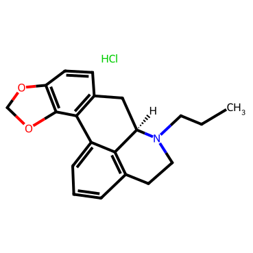 CCCN1CCc2cccc3c2[C@H]1Cc1ccc2c(c1-3)OCO2.Cl